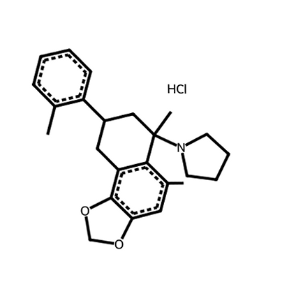 Cc1ccccc1C1Cc2c3c(cc(C)c2C(C)(N2CCCC2)C1)OCO3.Cl